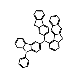 c1ccc(-n2c3ccccc3c3cc(N(c4ccc5c(c4)sc4ccccc45)c4cccc5sc6cc7ccccc7cc6c45)ccc32)cc1